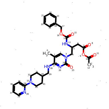 Cc1cn(CC(CC(=O)OC(=O)C(F)(F)F)NC(=O)OCc2ccccc2)c(=O)nc1NCC1CCN(c2ccccn2)CC1